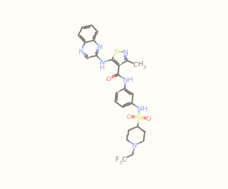 Cc1nsc(Nc2cnc3ccccc3n2)c1C(=O)Nc1cccc(NS(=O)(=O)C2CCN(CC(F)(F)F)CC2)c1